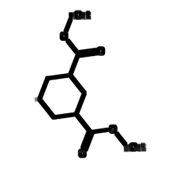 CCCCCCCCOC(=O)C1C[CH]CC(C(=O)OCCCCCCCC)C1